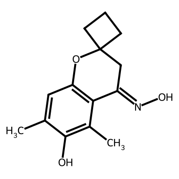 Cc1cc2c(c(C)c1O)/C(=N/O)CC1(CCC1)O2